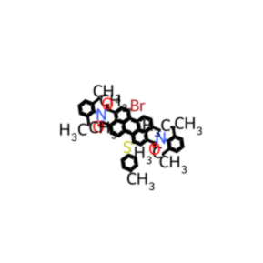 Cc1ccc(Sc2cc3c4c(ccc5c6c(Br)cc7c8c(ccc(c2c45)c86)C(=O)N(c2c(C(C)C)cccc2C(C)C)C7=O)CN(c2c(C(C)C)cccc2C(C)C)C3=O)cc1